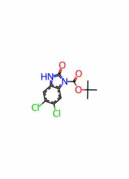 CC(C)(C)OC(=O)n1c(=O)[nH]c2cc(Cl)c(Cl)cc21